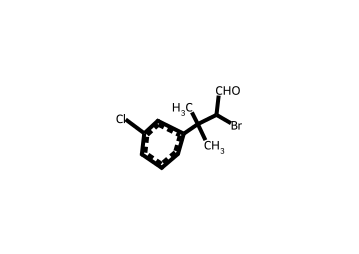 CC(C)(c1cccc(Cl)c1)C(Br)C=O